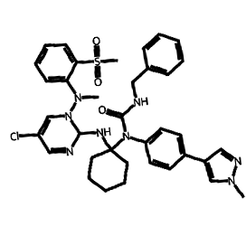 CN(c1ccccc1S(C)(=O)=O)N1C=C(Cl)C=NC1NC1(N(C(=O)NCc2ccccc2)c2ccc(-c3cnn(C)c3)cc2)CCCCC1